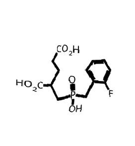 O=C(O)CCC(CP(=O)(O)Cc1ccccc1F)C(=O)O